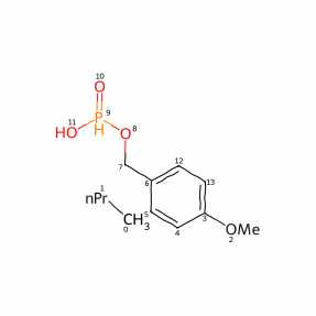 CCCC.COc1ccc(CO[PH](=O)O)cc1